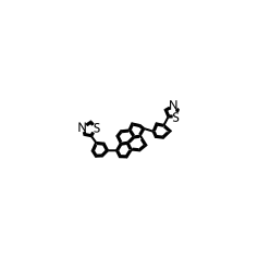 c1cc(-c2cncs2)cc(-c2ccc3ccc4c(-c5cccc(-c6cncs6)c5)ccc5ccc2c3c54)c1